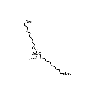 CCCCCCCCCCCCCCCCCCOOP(=O)(OCCC)OOCCCCCCCCCCCCCCCCCC